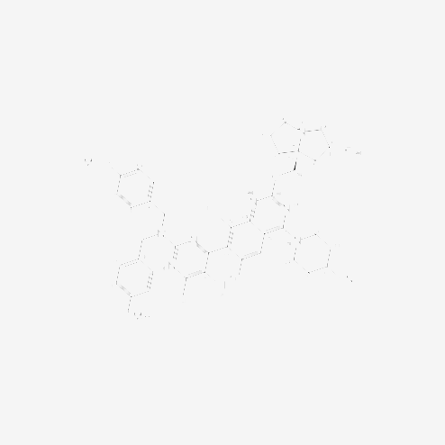 COc1ccc(CN(Cc2ccc(OC)cc2)c2nc(C)c(C(F)(F)F)c(-c3c(Cl)cc4c(N5CCC(C#N)CC5)nc(OC[C@@]56CCCN5C[C@H](F)C6)nc4c3F)n2)cc1